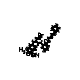 Cc1cc(CC(C=Cc2ccccc2OCCCCCc2ccccc2)CCBr)ccc1C(=O)O